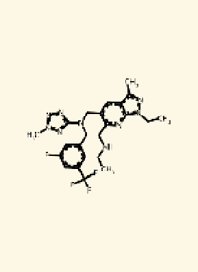 CCNCc1nc2c(cc1CN(Cc1cc(F)cc(C(F)(F)F)c1)c1nnn(C)n1)c(C)nn2CC